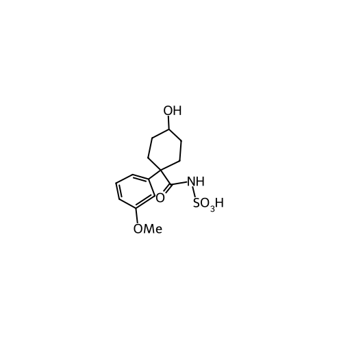 COc1cccc(C2(C(=O)NS(=O)(=O)O)CCC(O)CC2)c1